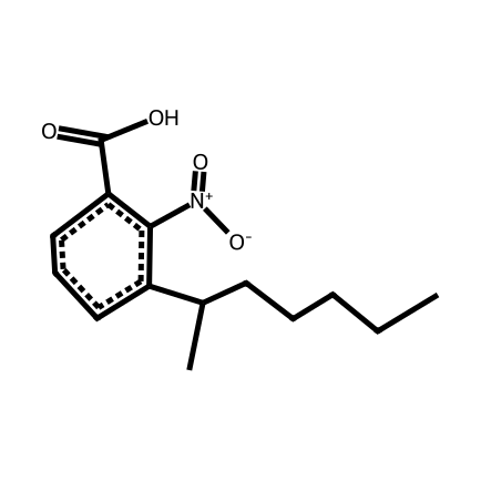 CCCCCC(C)c1cccc(C(=O)O)c1[N+](=O)[O-]